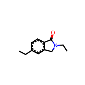 CCc1ccc2c(c1)CN(CC)C2=O